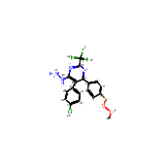 COOSc1ccc(-c2nc(C(F)(F)F)nc(NN)c2-c2ccc(Cl)cc2)cc1